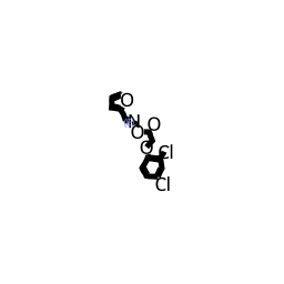 O=C(COc1ccc(Cl)cc1Cl)O/N=C/c1ccco1